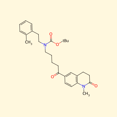 Cc1ccccc1CCN(CCCCC(=O)c1ccc2c(c1)CCC(=O)N2C)C(=O)OC(C)(C)C